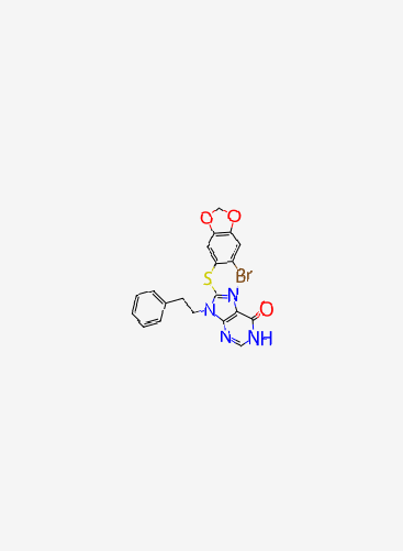 O=c1[nH]cnc2c1nc(Sc1cc3c(cc1Br)OCO3)n2CCc1ccccc1